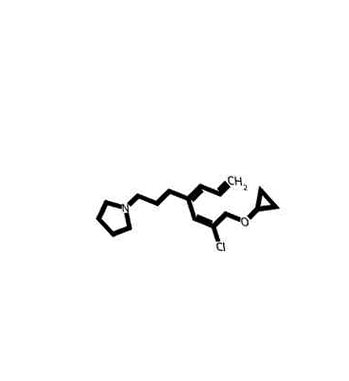 C=C/C=C(\C=C(\Cl)COC1CC1)CCCN1CCCC1